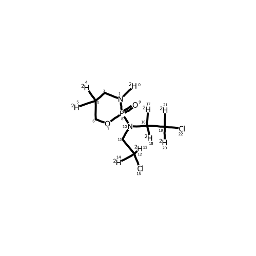 [2H]N1CC([2H])([2H])COP1(=O)N(CC([2H])([2H])Cl)C([2H])([2H])C([2H])([2H])Cl